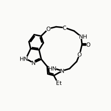 CCC1=C=C2NN1CCOC(=O)NCCCOc1ccc3[nH]nc2c3c1